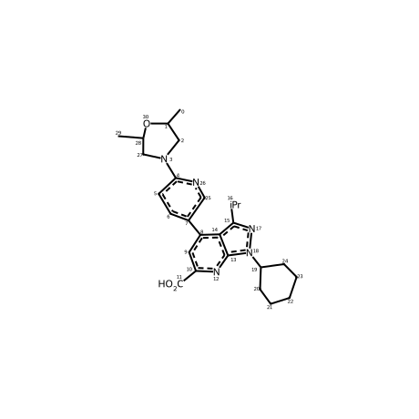 CC1CN(c2ccc(-c3cc(C(=O)O)nc4c3c(C(C)C)nn4C3CCCCC3)cn2)CC(C)O1